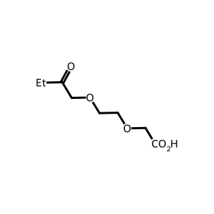 CCC(=O)COCCOCC(=O)O